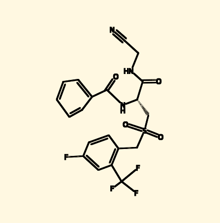 N#CCNC(=O)[C@H](CS(=O)(=O)Cc1ccc(F)cc1C(F)(F)F)NC(=O)c1ccccc1